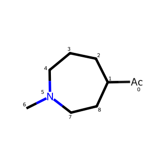 CC(=O)C1CCCN(C)CC1